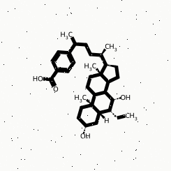 CC[C@H]1[C@@H](O)C2C3CC[C@H]([C@H](C)CCC(C)c4ccc(C(=O)O)cc4)[C@@]3(C)CCC2[C@@]2(C)CC[C@@H](O)C[C@@H]12